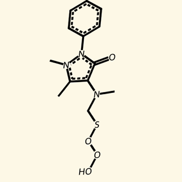 Cc1c(N(C)CSOOO)c(=O)n(-c2ccccc2)n1C